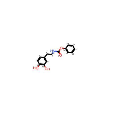 O=C(NCCc1ccc(O)c(O)c1)Oc1ccccc1